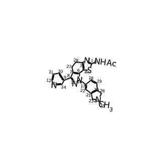 CC(=O)Nc1nc2c(s1)-c1c(c(-c3cccnc3)nn1-c1ccc3c(c1)CN(C)C3)CC2